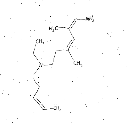 C/C=C\CCN(CC)CC/C(C)=C\C(C)=C/N